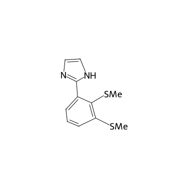 CSc1cccc(-c2ncc[nH]2)c1SC